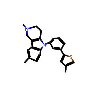 Cc1csc(-c2cccc(-n3c4c(c5cc(C)ccc53)CN(C)CC4)c2)c1